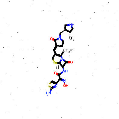 Nc1nc(C(=NO)C(=O)N[C@@H]2C(=O)N3C(C(=O)O)=C(C=C4CCN(C[C@H]5CNC[C@@H]5C(F)(F)F)C4=O)CS[C@H]23)cs1